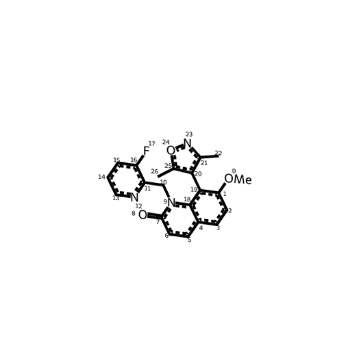 COc1ccc2ccc(=O)n(Cc3ncccc3F)c2c1-c1c(C)noc1C